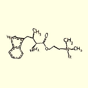 CC[N+](C)(C)CCOC(=O)[C@@H](N)C(C)c1c[nH]c2ccccc12